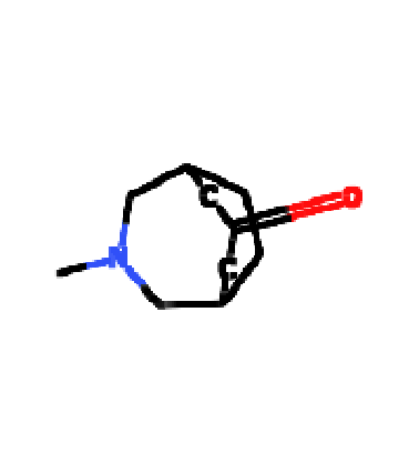 CN1CC2CCC(CC(=O)C2)C1